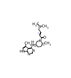 Cc1c[nH]c2ncnc(N[C@@H]3CC[C@H](C)N(C(=O)/C=C/CN(C)C)C3)c12